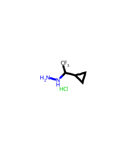 Cl.NNC(C1CC1)C(F)(F)F